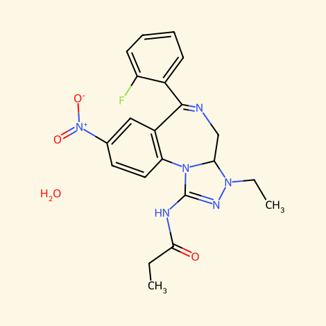 CCC(=O)NC1=NN(CC)C2CN=C(c3ccccc3F)c3cc([N+](=O)[O-])ccc3N12.O